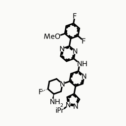 COc1cc(F)cc(F)c1-c1nccc(Nc2cc(N3CC[C@@H](F)[C@H](N)C3)c(-c3cnn(C(C)C)c3)cn2)n1